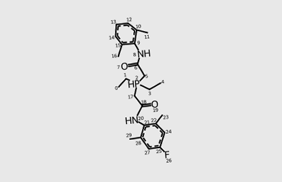 CC[PH](CC)(CC(=O)Nc1c(C)cccc1C)CC(=O)Nc1c(C)cc(F)cc1C